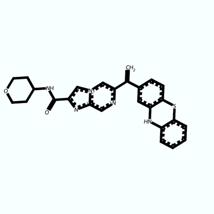 C=C(c1ccc2c(c1)Nc1ccccc1S2)c1cn2cc(C(=O)NC3CCOCC3)nc2cn1